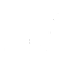 CCc1ccc(NCc2cccc(N3CCN(C)CC3)c2)cc1